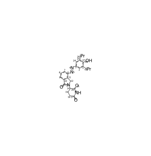 CC(C)c1cc(/N=N/c2cccc3c2CN(C2CCC(=O)NC2=O)C3=O)cc(C(C)C)c1O